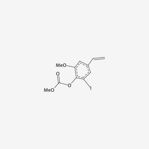 C=Cc1cc(I)c(OC(=O)OC)c(OC)c1